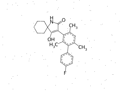 Cc1cc(C)c(-c2ccc(F)cc2)c(C)c1C1=C(O)C2(CCCCC2)NC1=O